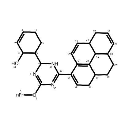 CCCOC1=NC(C2CCC=CC2O)NC(C2=CCC3CCC4C=CCC5C=CC2=C3C54)=N1